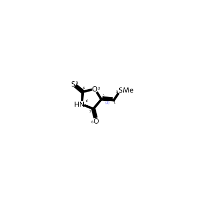 CS/C=C1\OC(=S)NC1=O